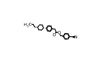 CCC[C@H]1CC[C@H](c2ccc(CC(=O)OCc3ccc(C#N)cc3)cc2)CC1